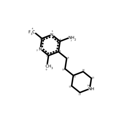 Cc1nc(C(F)(F)F)nc(N)c1CCC1CCNCC1